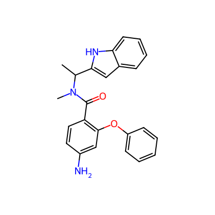 CC(c1cc2ccccc2[nH]1)N(C)C(=O)c1ccc(N)cc1Oc1ccccc1